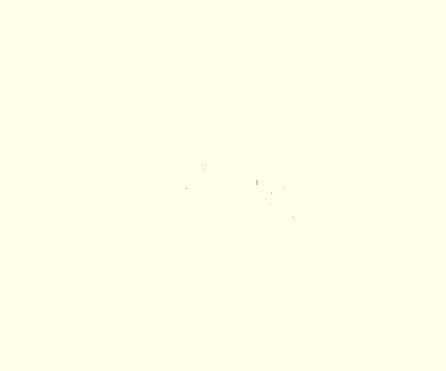 CC/C=C(/C=C\NCCCC(C)NC(=O)OC(C)(C)C)C(C)(C(C)C)C(F)(F)F